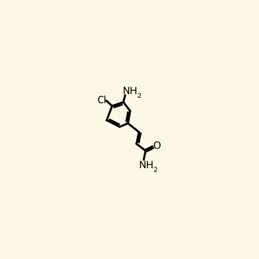 NC(=O)C=Cc1ccc(Cl)c(N)c1